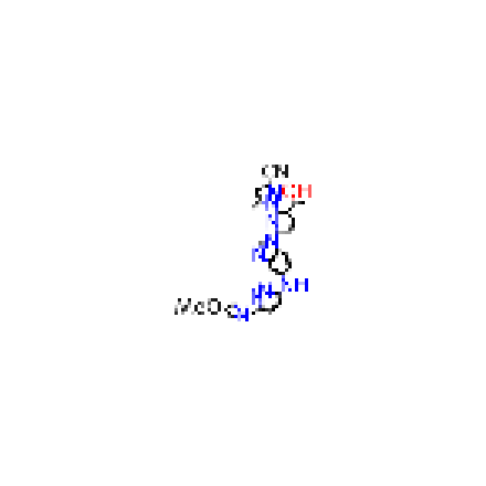 COC1CN(Cc2ccc(Nc3ccc4c(c3)ncn4-c3ccc(C(C)O)c(-n4nc(C#N)cc4C)n3)nn2)C1